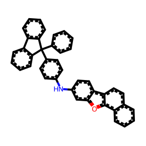 c1ccc(C2(c3ccc(Nc4ccc5c(c4)oc4c6ccccc6ccc54)cc3)c3ccccc3-c3ccccc32)cc1